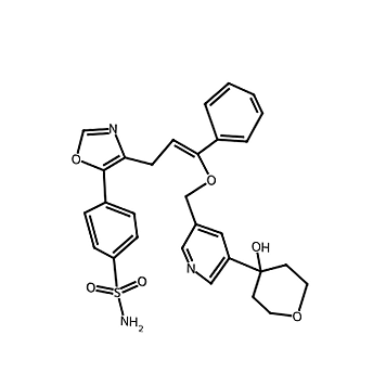 NS(=O)(=O)c1ccc(-c2ocnc2C/C=C(\OCc2cncc(C3(O)CCOCC3)c2)c2ccccc2)cc1